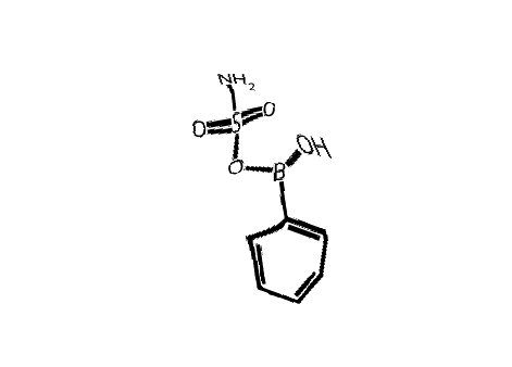 NS(=O)(=O)OB(O)c1ccccc1